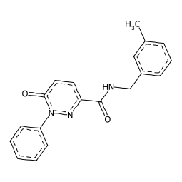 Cc1cccc(CNC(=O)c2ccc(=O)n(-c3ccccc3)n2)c1